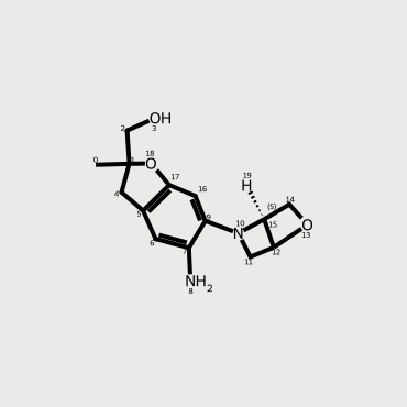 CC1(CO)Cc2cc(N)c(N3CC4OC[C@@H]43)cc2O1